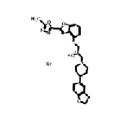 Br.Cc1nnc(-c2cc3c(OC[C@H](O)CN4CCC(c5ccc6c(c5)CCO6)CC4)cccc3o2)o1